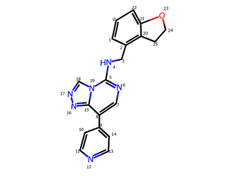 c1cc(CNc2ncc(-c3ccncc3)c3nncn23)c2c(c1)OCC2